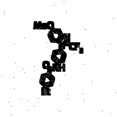 CCc1ccc(C(=O)Nc2ccc(-n3c(C(F)(F)F)nc4cc(OC)ccc43)cc2)cc1